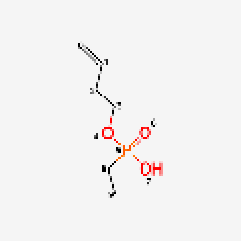 C=CCCOP(=O)(O)CC